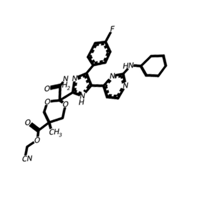 CC1(C(=O)OCC#N)COC(C(N)=O)(c2nc(-c3ccc(F)cc3)c(-c3ccnc(NC4CCCCC4)n3)[nH]2)OC1